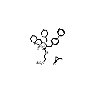 CC1OC1=O.CCOC(=O)CCNC(=O)C(Cc1ccc(-c2ccccc2)cc1)N(CC1CCCCC1)C(CC1CCCCC1)P(=O)(O)O